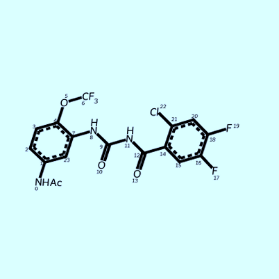 CC(=O)Nc1ccc(OC(F)(F)F)c(NC(=O)NC(=O)c2cc(F)c(F)cc2Cl)c1